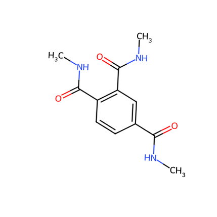 CNC(=O)c1ccc(C(=O)NC)c(C(=O)NC)c1